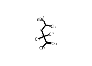 CCCCC(Cl)CC(Cl)(Cl)C(=O)Cl